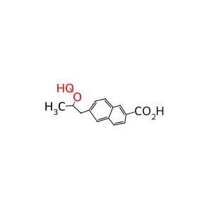 CC(Cc1ccc2cc(C(=O)O)ccc2c1)OO